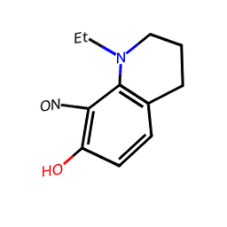 CCN1CCCc2ccc(O)c(N=O)c21